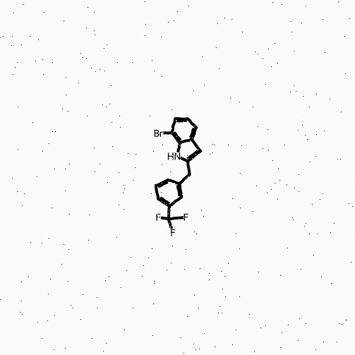 FC(F)(F)c1cccc(Cc2cc3cccc(Br)c3[nH]2)c1